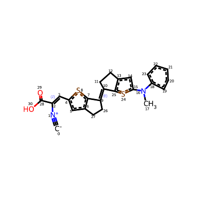 [C-]#[N+]/C(=C\c1cc2c(s1)/C(=C1\CCc3cc(N(C)c4ccccc4)sc31)CC2)C(=O)O